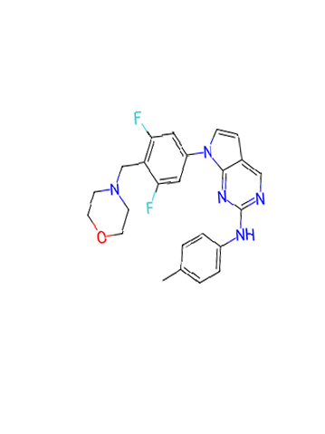 Cc1ccc(Nc2ncc3ccn(-c4cc(F)c(CN5CCOCC5)c(F)c4)c3n2)cc1